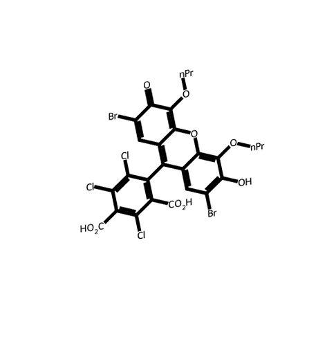 CCCOc1c2oc3c(OCCC)c(O)c(Br)cc3c(-c3c(Cl)c(Cl)c(C(=O)O)c(Cl)c3C(=O)O)c-2cc(Br)c1=O